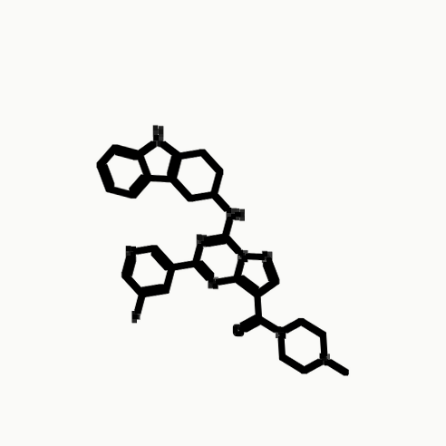 CN1CCN(C(=O)c2cnn3c(NC4CCc5[nH]c6ccccc6c5C4)nc(-c4cncc(F)c4)nc23)CC1